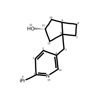 CC(C)c1ccc(CC23CCC2C[C@@H](O)C3)cn1